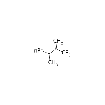 C=C(C(C)CCC)C(F)(F)F